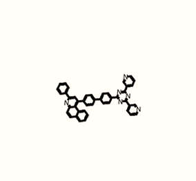 c1ccc(-c2cc(-c3ccc(-c4ccc(-c5nc(-c6cccnc6)nc(-c6cccnc6)n5)cc4)cc3)c3c(ccc4ccccc43)n2)cc1